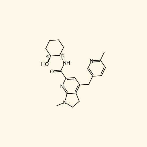 Cc1ccc(Cc2cc(C(=O)N[C@H]3CCCC[C@@H]3O)nc3c2CCN3C)cn1